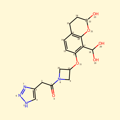 O=C(Cc1c[nH]nn1)N1CC(Oc2ccc3c(c2C(O)O)OB(O)CC3)C1